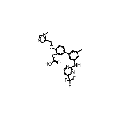 Cc1cc(Nc2nccc(C(F)(F)F)n2)cc(-c2ccc(OCc3cncn3C)c(OC(=O)O)c2)c1